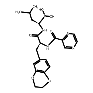 CC(C)C[C@H](NC(=O)[C@H](Cc1ccc2c(c1)OCCO2)NC(=O)c1cnccn1)B(O)O